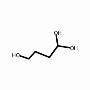 OCCCC(O)O